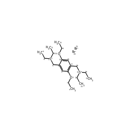 CCOc1cc(C[S+](CC)CC)c(OCC)cc1C[S+](CC)CC.[Br-].[Br-]